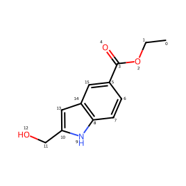 CCOC(=O)c1ccc2[nH]c(CO)cc2c1